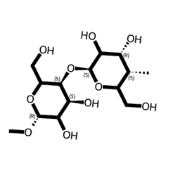 CO[C@@H]1OC(CO)[C@@H](O[C@@H]2OC(CO)[C@@H](C)[C@@H](O)C2O)[C@@H](O)C1O